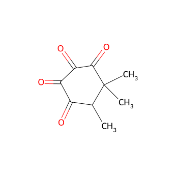 CC1C(=O)C(=O)C(=O)C(=O)C1(C)C